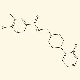 Cc1cc(C(=O)NCN2CCC(c3cccc[n+]3[O-])CC2)ccc1Cl